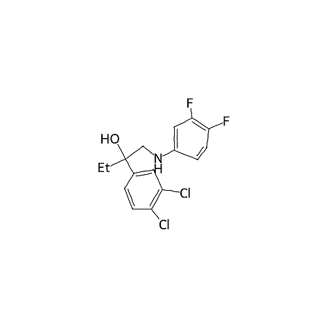 [CH2]CC(O)(CNc1ccc(F)c(F)c1)c1ccc(Cl)c(Cl)c1